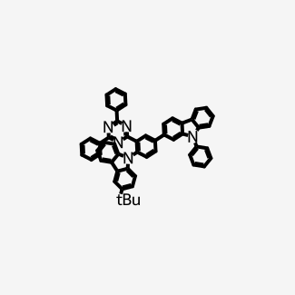 CC(C)(C)c1ccc2c(c1)c1ccccc1n2-c1ccc(-c2ccc3c4ccccc4n(-c4ccccc4)c3c2)cc1-c1nc(-c2ccccc2)nc(-c2ccccc2)n1